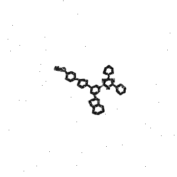 COc1ccc(-c2ccc(-c3cc(-c4ccc5ccccc5c4)cc(-c4nc(-c5ccccc5)nc(-c5ccccc5)n4)c3)cc2)cc1